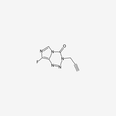 C#CCn1nnc2c(F)ncn2c1=O